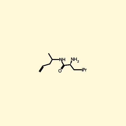 C=CCC(C)NC(=O)[C@@H](N)CC(C)C